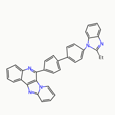 CCc1nc2ccccc2n1-c1ccc(-c2ccc(-c3nc4ccccc4c4nc5ccccn5c34)cc2)cc1